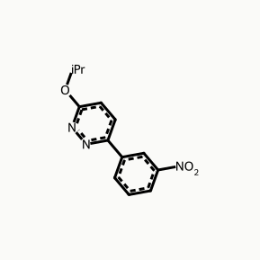 CC(C)Oc1ccc(-c2cccc([N+](=O)[O-])c2)nn1